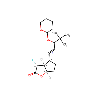 CCCCC(C)(C(/C=C/[C@@H]1CC[C@H]2OC(=O)[C@H](F)[C@@H]12)OC1CCCCO1)C(F)(F)F